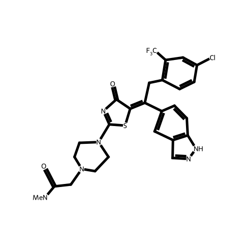 CNC(=O)CN1CCN(C2=NC(=O)C(=C(Cc3ccc(Cl)cc3C(F)(F)F)c3ccc4[nH]ncc4c3)S2)CC1